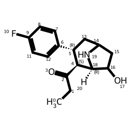 CCC(=O)[C@H]1[C@H](c2ccc(F)cc2)CC2CC(O)[C@@H]1N2